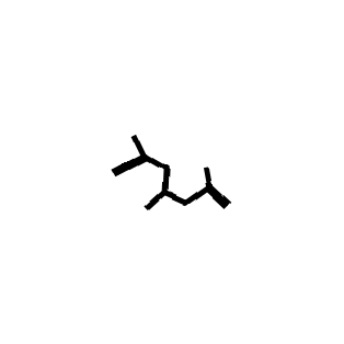 C=C(C)CC(C)CC(=C)C